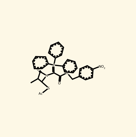 CC(=O)SC1C(C)C(=O)N1C(C(=O)OCc1ccc([N+](=O)[O-])cc1)=P(c1ccccc1)(c1ccccc1)c1ccccc1